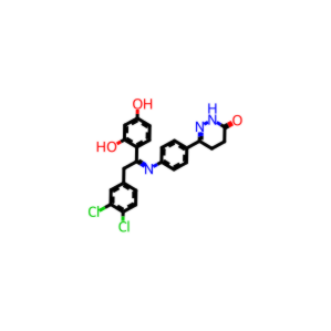 O=C1CCC(c2ccc(N=C(Cc3ccc(Cl)c(Cl)c3)c3ccc(O)cc3O)cc2)=NN1